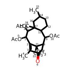 CC(=O)OC1C2=C(C)C(=O)CC(C(OC(C)=O)C3CCC(C)CC3(C)C1OC(C)=O)C2(C)C